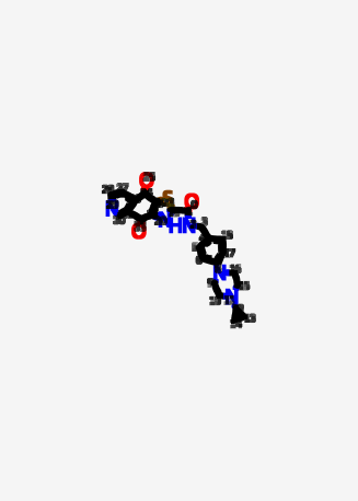 O=C(NCc1ccc(N2CCN(C3CC3)CC2)cc1)c1nc2c(s1)C(=O)c1ccncc1C2=O